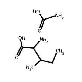 CCC(C)C(N)C(=O)O.NC(=O)O